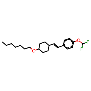 CCCCCCCOC1CCC(C=Cc2ccc(OC(F)F)cc2)CC1